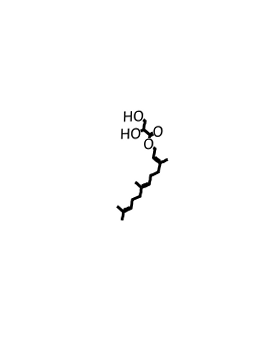 CC(C)=CCC/C(C)=C/CCC(C)=CCOC(=O)C(O)CO